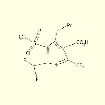 CC(C)Cc1c(C(=O)O)c(C(F)(F)F)nc(C(F)F)c1S(C)(=O)=O